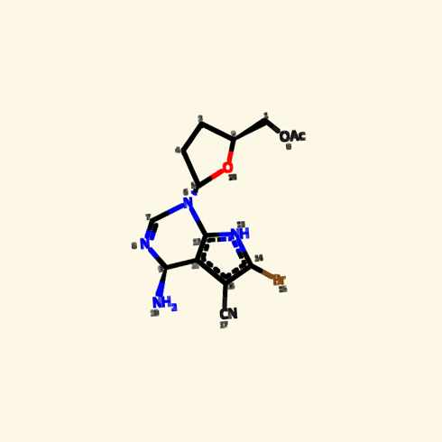 CC(=O)OC[C@@H]1[CH][CH][C@@H](N2C=N[C@H](N)c3c2[nH]c(Br)c3C#N)O1